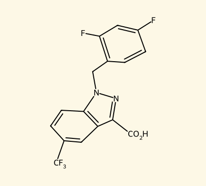 O=C(O)c1nn(Cc2ccc(F)cc2F)c2ccc(C(F)(F)F)cc12